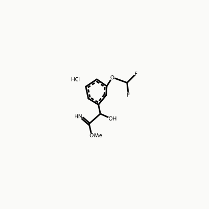 COC(=N)C(O)c1cccc(OC(F)F)c1.Cl